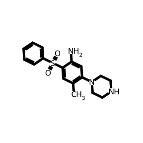 Cc1cc(S(=O)(=O)c2ccccc2)c(N)cc1N1CCNCC1